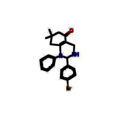 CC1(C)CC(=O)C2=C(C1)N(c1ccccc1)C(c1ccc(Br)cc1)NC2